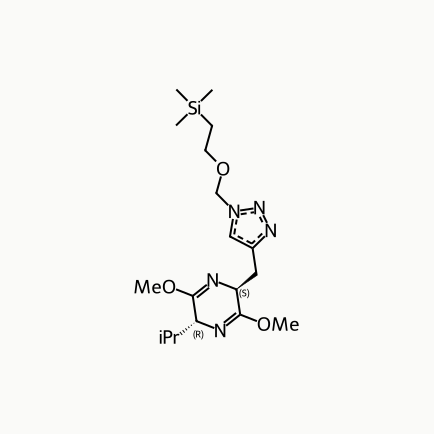 COC1=N[C@H](C(C)C)C(OC)=N[C@H]1Cc1cn(COCC[Si](C)(C)C)nn1